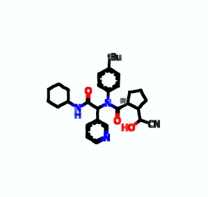 CC(C)(C)c1ccc(N(C(=O)[C@H]2CCCC2C(O)C#N)C(C(=O)NC2CCCCC2)c2cccnc2)cc1